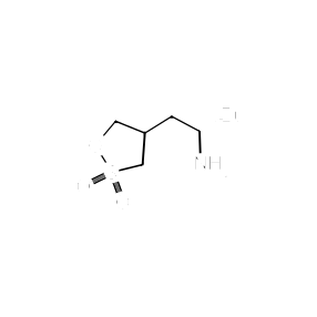 CC[C@H](N)CC1COS(=O)(=O)C1